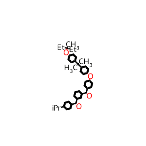 CCC(C)(CC)Oc1ccc(C(C)(C)c2ccc(Oc3ccc(C(=O)c4cccc(C(=O)c5ccc(C(C)C)cc5)c4)cc3)cc2)cc1